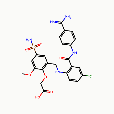 COc1cc(S(N)(=O)=O)cc(CNc2ccc(Cl)cc2C(=O)Nc2ccc(C(=N)N)cc2)c1OCC(=O)O